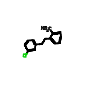 O=C(O)c1ccccc1CCc1cccc(Cl)c1